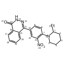 CCC1CCCCN1c1ccc(-c2n[nH]c(=O)c3ccccc23)cc1[N+](=O)[O-]